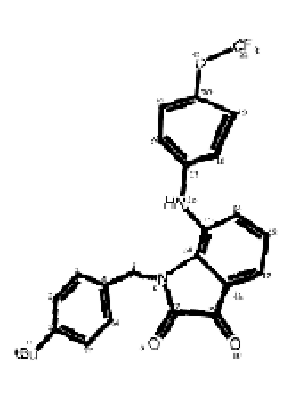 CC(C)(C)c1ccc(CN2C(=O)C(=O)c3cccc(Nc4ccc(OC(F)(F)F)cc4)c32)cc1